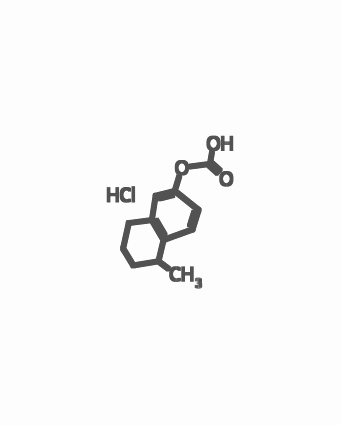 CC1CCCc2cc(OC(=O)O)ccc21.Cl